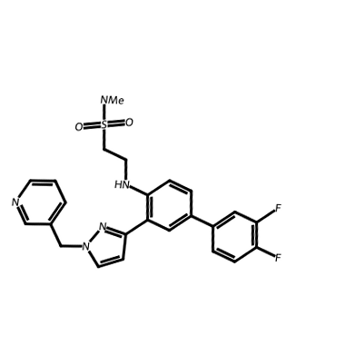 CNS(=O)(=O)CCNc1ccc(-c2ccc(F)c(F)c2)cc1-c1ccn(Cc2cccnc2)n1